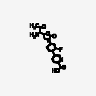 CC(=O)[C@@H](N)C1CN(c2ccc(-c3ccc(C(=O)O)nc3)c(F)c2)C(=O)O1